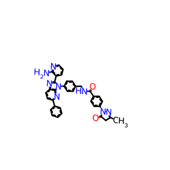 CC1=NN(c2ccc(C(=O)NCc3ccc(-n4c(-c5cccnc5N)nc5ccc(-c6ccccc6)nc54)cc3)cc2)C(=O)C1